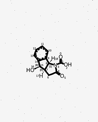 O=C(O)N1C(=O)C[C@@H]2[C@H]1c1ccccc1[C@@H]2O